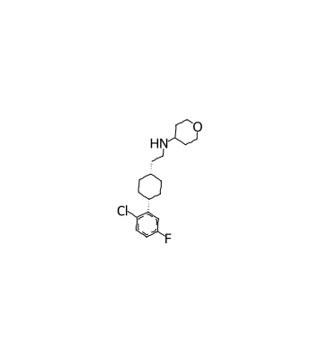 Fc1ccc(Cl)c([C@H]2CC[C@@H](CCNC3CCOCC3)CC2)c1